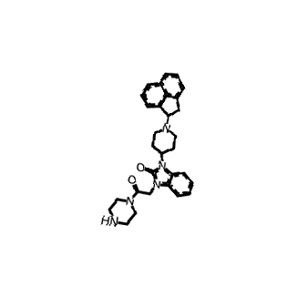 O=C(Cn1c(=O)n(C2CCN([C@@H]3Cc4cccc5cccc3c45)CC2)c2ccccc21)N1CCNCC1